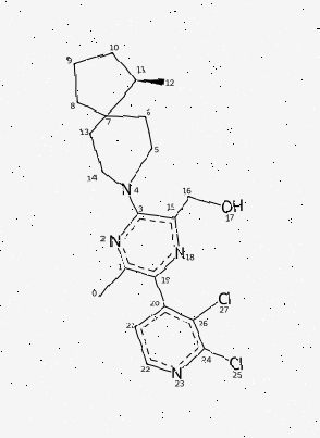 Cc1nc(N2CCC3(CCC[C@H]3C)CC2)c(CO)nc1-c1ccnc(Cl)c1Cl